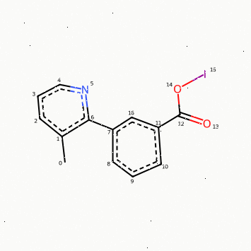 Cc1cccnc1-c1cccc(C(=O)OI)c1